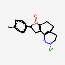 Cc1ccc(C2CC3=C(CCC4=C3NN(Br)CC4)[S+]2[O-])cc1